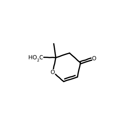 CC1(C(=O)O)CC(=O)C=CO1